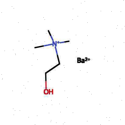 C[N+](C)(C)CCO.[Ba+2]